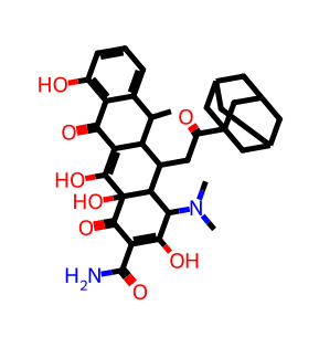 CC1c2cccc(O)c2C(=O)C2=C(O)C3(O)C(=O)C(C(N)=O)=C(O)C(N(C)C)C3C(CC(=O)C34CC5CC(CC(C5)C3)C4)C21